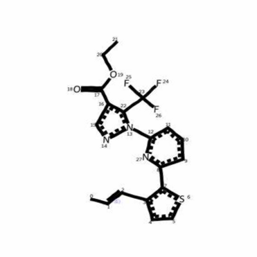 C/C=C/c1ccsc1-c1cccc(-n2ncc(C(=O)OCC)c2C(F)(F)F)n1